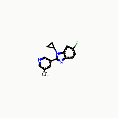 Fc1ccc2nc(-c3cncc(C(F)(F)F)c3)n(C3CC3)c2c1